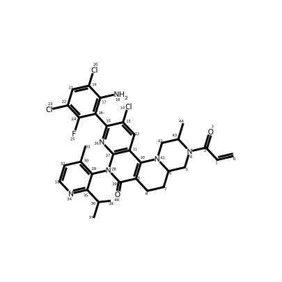 C=CC(=O)N1CC2CCc3c(c4cc(Cl)c(-c5c(N)c(Cl)cc(Cl)c5F)nc4n(-c4c(C)ccnc4C(C)C)c3=O)N2CC1C